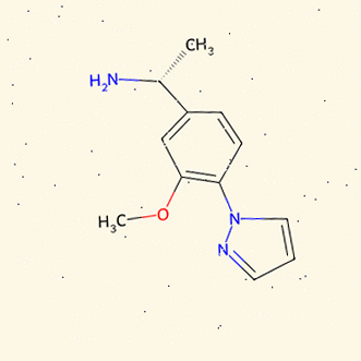 COc1cc([C@@H](C)N)ccc1-n1cccn1